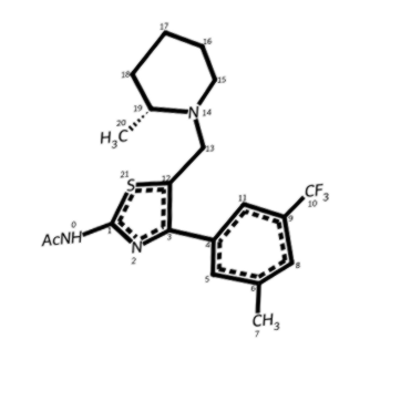 CC(=O)Nc1nc(-c2cc(C)cc(C(F)(F)F)c2)c(CN2CCCC[C@H]2C)s1